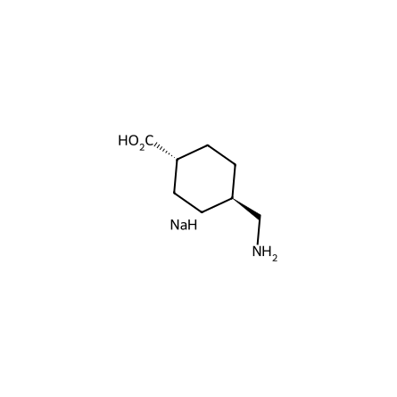 NC[C@H]1CC[C@H](C(=O)O)CC1.[NaH]